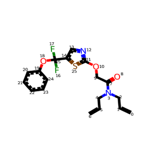 C=CCN(CC=C)C(=O)COc1ncc(C(F)(F)Oc2ccccc2)s1